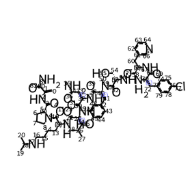 C=C(NC(=O)[C@@H]1CCCN1C(=O)[C@H](CCCCNC(C)C)NC(=O)/C(=C\C(C)C)NC(=O)/C(=C\C(N)=O)NC(=O)/C(=C\c1ccc(O)cc1)N(C)C(=O)[C@H](CO)NOC[C@@H](Cc1cccnc1)NC(=O)/C(N)=C\c1ccc(Cl)cc1)C(N)=O